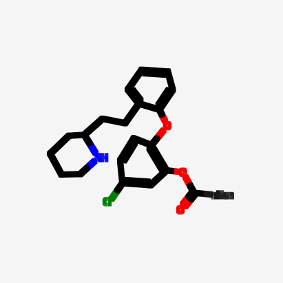 CCCCCCCCCC(=O)Oc1cc(Cl)ccc1Oc1ccccc1CCC1CCCCN1